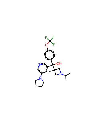 CC(C)N1CC(C)(C(O)(c2ccc(OC(F)(F)F)cc2)c2cncc(N3CCCC3)c2)C1